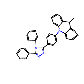 CC1c2ccccc2N(c2ccc(-c3nnc(-c4ccccc4)n3-c3ccccc3)cc2)c2ccccc21